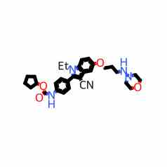 CCn1c(-c2ccc(NC(=O)OC3CCCC3)cc2)c(C#N)c2cc(OCCCNN3CCOCC3)ccc21